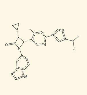 Cc1cc(-n2cnc(C(F)F)c2)ncc1[C@H]1[C@@H](C2CC2)C(=O)N1c1ccc2[nH]cnc2c1